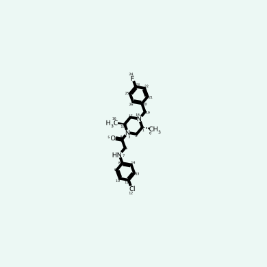 C[C@@H]1CN(C(=O)CNc2ccc(Cl)cc2)[C@@H](C)CN1Cc1ccc(F)cc1